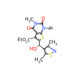 CCOC(=O)c1c(C(O)c2c(C)nsc2C)sc2c1c(=O)n(C)c(=O)n2C(C)C